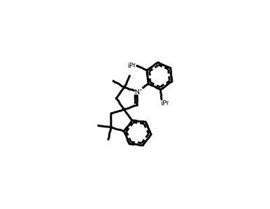 CC(C)c1cccc(C(C)C)c1[N+]1=CC2(CC(C)(C)c3ccccc32)CC1(C)C